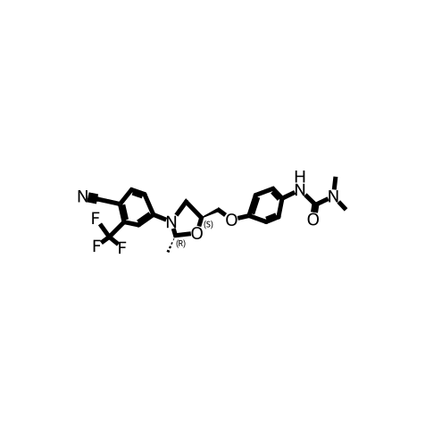 C[C@H]1O[C@H](COc2ccc(NC(=O)N(C)C)cc2)CN1c1ccc(C#N)c(C(F)(F)F)c1